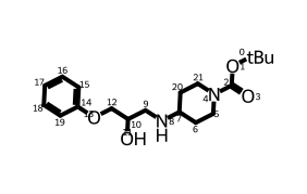 CC(C)(C)OC(=O)N1CCC(NCC(O)COc2ccccc2)CC1